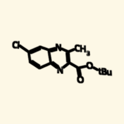 Cc1nc2cc(Cl)ccc2nc1C(=O)OC(C)(C)C